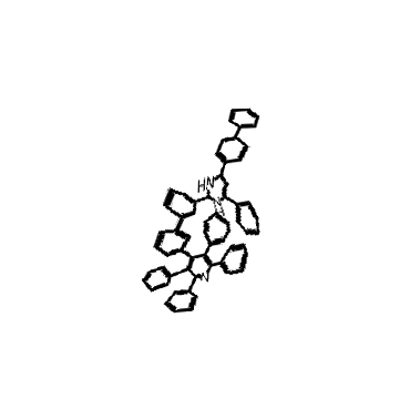 C1=C(c2ccccc2)NC(c2cccc(-c3cccc(-c4c(-c5ccccc5)c(-c5ccccc5)nc(-c5ccccc5)c4-c4ccccc4)c3)c2)NC1c1ccc(-c2ccccc2)cc1